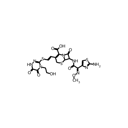 CO/N=C(\C(=O)NC1C(=O)N2C(C(=O)O)=C(/C=C/Sc3n[nH]c(=O)c(=O)n3CCO)CSC12)c1csc(N)n1